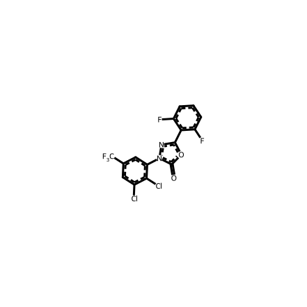 O=c1oc(-c2c(F)cccc2F)nn1-c1cc(C(F)(F)F)cc(Cl)c1Cl